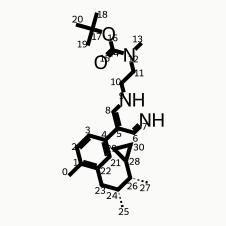 Cc1ccc(/C(C=N)=C/NCCN(C)C(=O)OC(C)(C)C)cc1C[C@@H](C)[C@@H](C)C1CC1